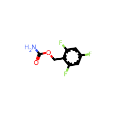 NC(=O)OCc1c(F)cc(F)cc1F